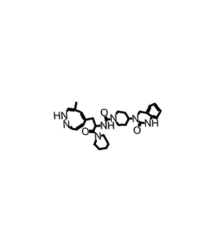 Cc1c[nH]ncccc(CC(NC(=O)N2CCC(N3Cc4ccccc4NC3=O)CC2)C(=O)N2CCCCC2)c1